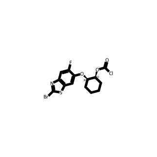 O=C(Cl)O[C@H]1CCCC[C@H]1Oc1cc2sc(Br)nc2cc1F